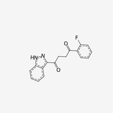 O=C(CCC(=O)c1n[nH]c2ccccc12)c1ccccc1F